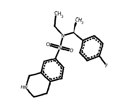 CCN([C@@H](C)c1ccc(F)cc1)S(=O)(=O)c1ccc2c(c1)CNCC2